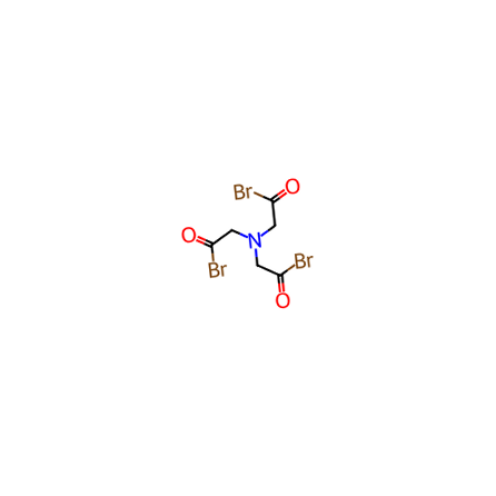 O=C(Br)CN(CC(=O)Br)CC(=O)Br